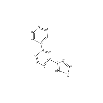 [c]1ccc(-c2cccc(-c3ccon3)c2)cc1